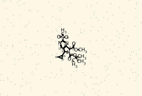 COC(=O)C1c2nc(S(C)(=O)=O)ncc2C(C2CC2)N1C(=O)OC(C)(C)C